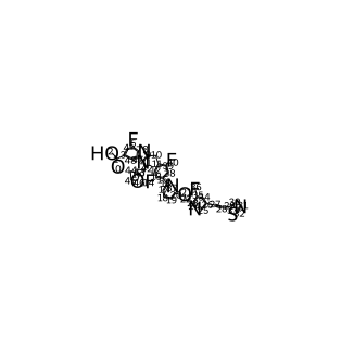 O=C(O)c1cc(F)c2nc(Cc3cc(F)c(-c4cccc(OCc5ncc(C#Cc6cncs6)cc5F)n4)cc3F)n(C[C@@H]3CCO3)c2c1